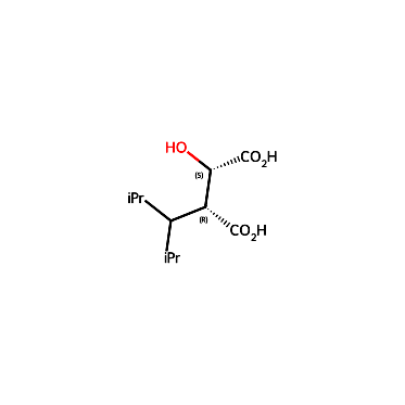 CC(C)C(C(C)C)[C@@H](C(=O)O)[C@H](O)C(=O)O